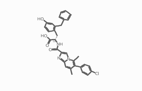 Cc1cc2nc(C(=O)N[C@@H](Cc3ccc(O)cc3Cc3ccccc3)C(=O)O)cn2c(C)c1-c1ccc(Cl)cc1